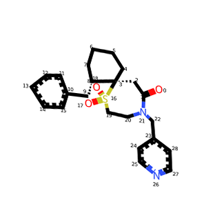 O=C1C[C@]2(CCCC[C@H]2Cc2ccccc2)S(=O)(=O)CCN1Cc1ccncc1